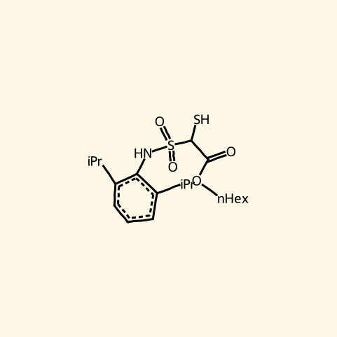 CCCCCCOC(=O)C(S)S(=O)(=O)Nc1c(C(C)C)cccc1C(C)C